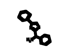 NC(c1ccccc1)c1nc(-c2ccccc2)cs1